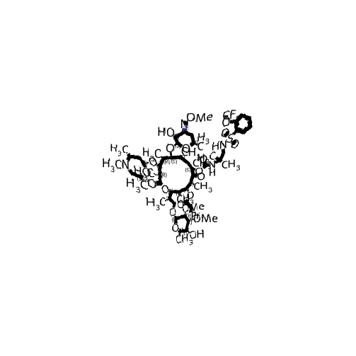 CO/N=C1\C[C@@H](C)O[C@@H](O[C@@H]2[C@@H](C)[C@H](O[C@H]3CC(C)N(C)C[C@H](C)O3)[C@@H](C)C(=O)O[C@H]([C@@H](C)CO[C@@H]3O[C@H](C)[C@@H](O)[C@@H](OC)[C@H]3OC)[C@H](C)[C@@H](OC(=O)CC(C)C)[C@@H](C)C(=O)[C@@](C)(OC(=O)NC(C)(C)CNS(=O)(=O)c3ccccc3OC(F)(F)F)C[C@@H]2C)[C@@H]1O